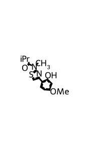 COc1ccc(-c2csc(N(C)C(=O)C(C)C)n2)c(O)c1